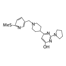 CSc1ccc(CN2CCC(c3cc(O)nc(N4CCCC4)n3)CC2)cn1